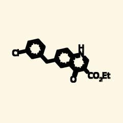 CCOC(=O)c1c[nH]c2ccc(Cc3cccc(Cl)c3)cc2c1=O